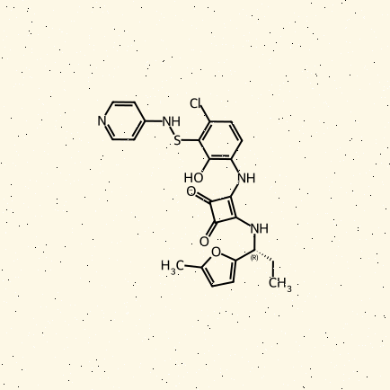 CC[C@@H](Nc1c(Nc2ccc(Cl)c(SNc3ccncc3)c2O)c(=O)c1=O)c1ccc(C)o1